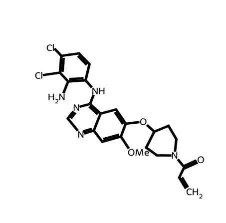 C=CC(=O)N1CCC(Oc2cc3c(Nc4ccc(Cl)c(Cl)c4N)ncnc3cc2OC)CC1